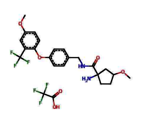 COc1ccc(Oc2ccc(CNC(=O)C3(N)CCC(OC)C3)cc2)c(C(F)(F)F)c1.O=C(O)C(F)(F)F